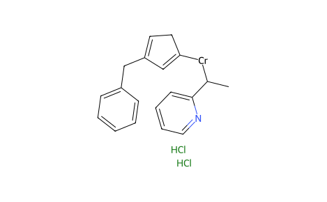 C[CH]([Cr][C]1=CC(Cc2ccccc2)=CC1)c1ccccn1.Cl.Cl